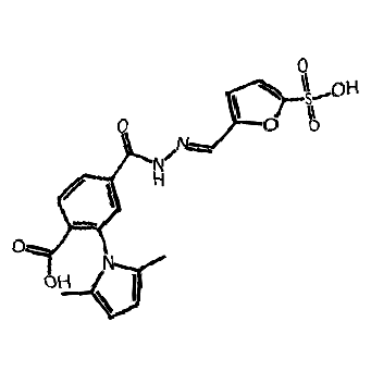 Cc1ccc(C)n1-c1cc(C(=O)N/N=C/c2ccc(S(=O)(=O)O)o2)ccc1C(=O)O